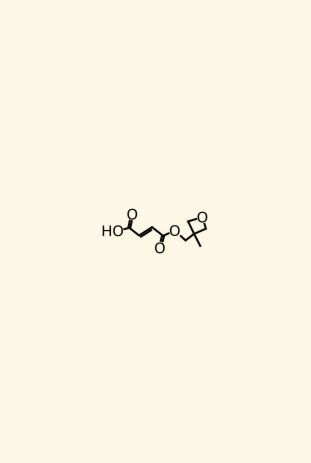 CC1(COC(=O)C=CC(=O)O)COC1